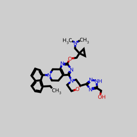 CCc1cccc2cccc(N3CCc4c(nc(OCC5(CN(C)C)CC5)nc4N4CCOC(c5n[nH]c(CO)n5)C4)C3)c12